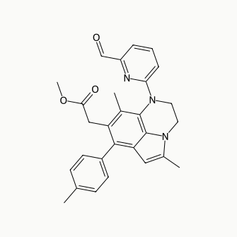 COC(=O)Cc1c(C)c2c3c(cc(C)n3CCN2c2cccc(C=O)n2)c1-c1ccc(C)cc1